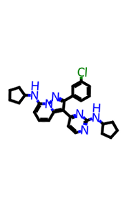 Clc1cccc(-c2nn3c(NC4CCCC4)cccc3c2-c2ccnc(NC3CCCC3)n2)c1